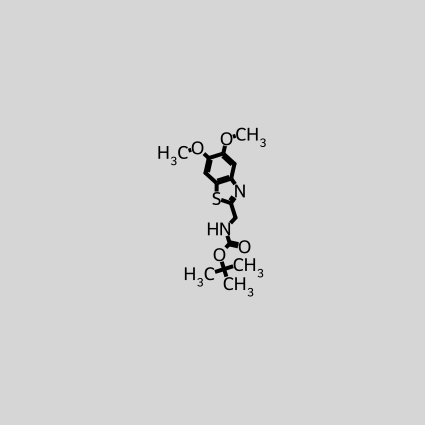 COc1cc2nc(CNC(=O)OC(C)(C)C)sc2cc1OC